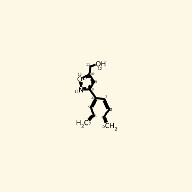 C=C/C=C\C(=C/C=C)c1cc(CO)on1